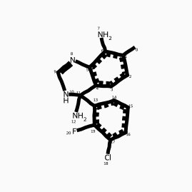 Cc1ccc2c(c1N)N=CNC2(N)c1cccc(Cl)c1F